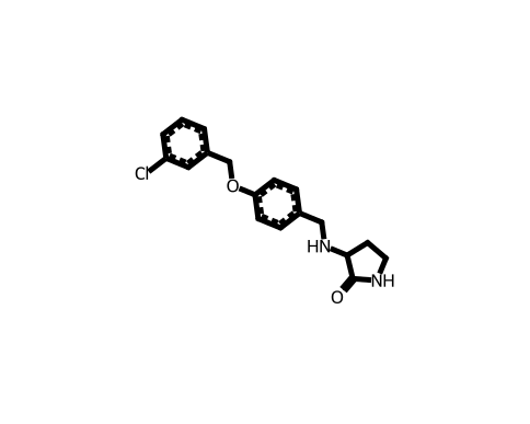 O=C1NCCC1NCc1ccc(OCc2cccc(Cl)c2)cc1